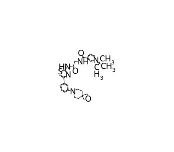 CC(C)(C)n1ccc(C(=O)NCC(=O)Nc2nc(-c3cccc(N4CCC5(CC4)COC5)c3)cs2)c1